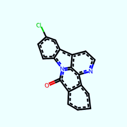 O=c1c2ccccc2c2nccc3c4cc(Cl)ccc4n1c32